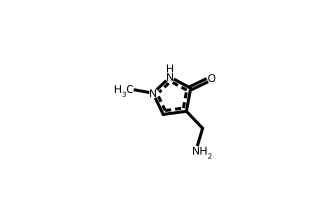 Cn1cc(CN)c(=O)[nH]1